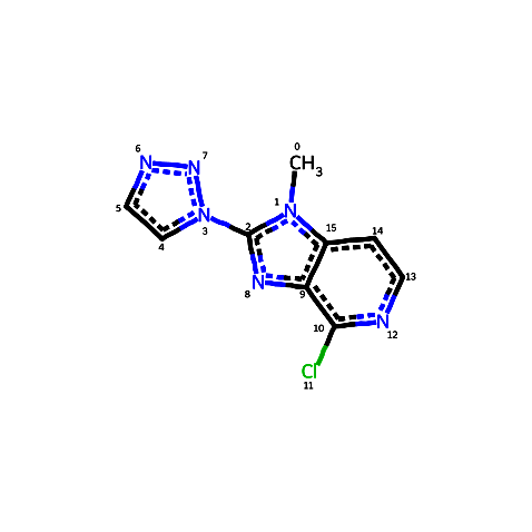 Cn1c(-n2ccnn2)nc2c(Cl)nccc21